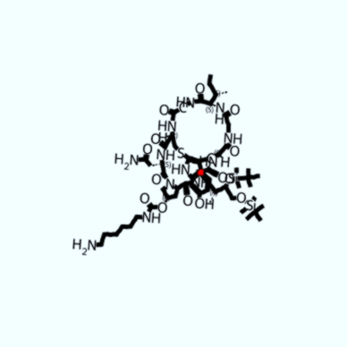 CC[C@H](C)[C@@H]1NC(=O)CNC(=O)[C@@H]2Cc3c([nH]c4cc(O)ccc34)SC[C@H](NC(=O)CNC1=O)C(=O)N[C@@H](CC(N)=O)C(=O)N1C[C@H](OC(=O)NCCCCCCN)CC1C(=O)N[C@@H]([C@@H](C)C(CO[Si](C)(C)C(C)(C)C)O[Si](C)(C)C(C)(C)C)C(=O)N2